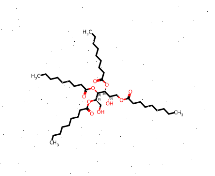 CCCCCCCCC(=O)OC[C@H](O)[C@@H](OC(=O)CCCCCCCC)[C@H](OC(=O)CCCCCCCC)[C@@H](CO)OC(=O)CCCCCCCC